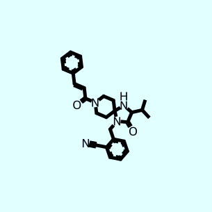 CC(C)C1NC2(CCN(C(=O)C=Cc3ccccc3)CC2)N(Cc2ccccc2C#N)C1=O